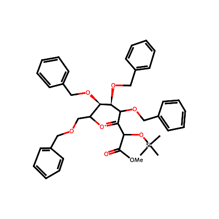 COC(=O)C(O[Si](C)(C)C)C1=[O+]C(COCc2ccccc2)[C@@H](OCc2ccccc2)[C@@H](OCc2ccccc2)C1OCc1ccccc1